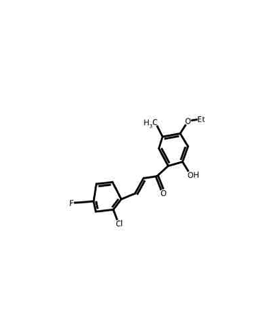 CCOc1cc(O)c(C(=O)/C=C/c2ccc(F)cc2Cl)cc1C